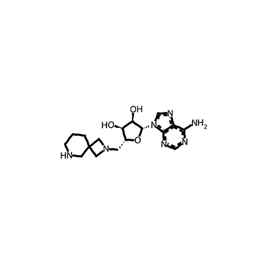 Nc1ncnc2c1ncn2[C@@H]1O[C@H](CN2CC3(CCCNC3)C2)[C@@H](O)[C@H]1O